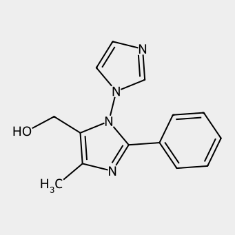 Cc1nc(-c2ccccc2)n(-n2ccnc2)c1CO